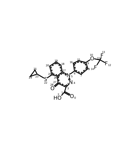 O=C(O)c1nn(-c2ccc(OC(F)(F)F)cc2)c2cccc(SC3CC3)c2c1=O